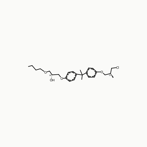 CCCCOC[C@@H](O)COc1ccc(C(C)(C)c2ccc(OC[C@H](C)CCl)cc2)cc1